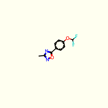 Cc1noc(-c2ccc(OC(F)F)cc2)n1